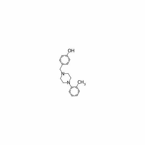 Cc1ccccc1N1CCN(Cc2ccc(O)cc2)CC1